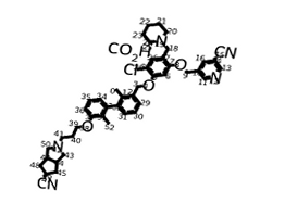 Cc1c(COc2cc(OCc3cncc(C#N)c3)c(CN3CCCC[C@H]3C(=O)O)cc2Cl)cccc1-c1cccc(OCCCN2CC3CC(C#N)CC3C2)c1C